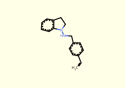 C=Cc1ccc(CNN2CCc3ccccc32)cc1